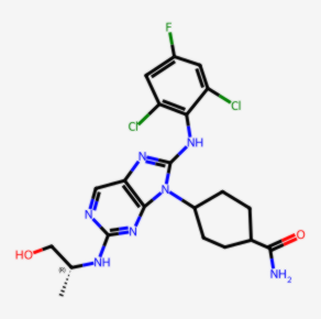 C[C@H](CO)Nc1ncc2nc(Nc3c(Cl)cc(F)cc3Cl)n(C3CCC(C(N)=O)CC3)c2n1